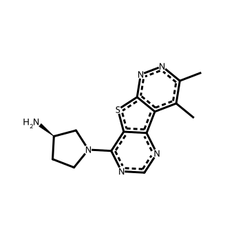 Cc1nnc2sc3c(N4CC[C@@H](N)C4)ncnc3c2c1C